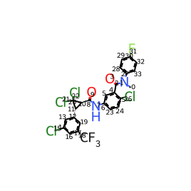 CN(C(=O)c1cc(NC(=O)[C@H]2[C@H](c3cc(Cl)cc(C(F)(F)F)c3)C2(Cl)Cl)ccc1Cl)c1ccc(F)cc1